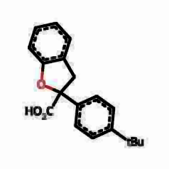 CC(C)(C)c1ccc(C2(C(=O)O)Cc3ccccc3O2)cc1